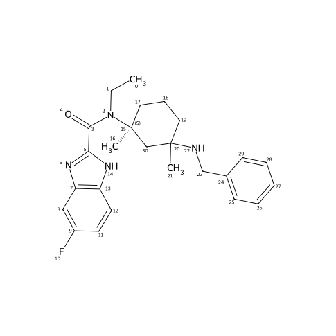 CCN(C(=O)c1nc2cc(F)ccc2[nH]1)[C@@]1(C)CCCC(C)(NCc2ccccc2)C1